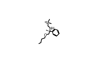 CCCCOC[C@](C)(NC[Si](C)(C)C)c1ccccc1